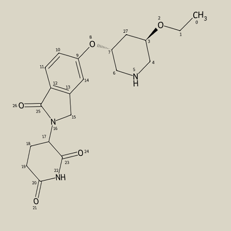 CCO[C@H]1CNC[C@H](Oc2ccc3c(c2)CN(C2CCC(=O)NC2=O)C3=O)C1